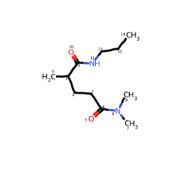 [CH2]C(CCC(=O)N(C)C)C(=O)NCCC